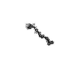 CC(Cc1ccc(CNC(=O)Cc2ccc(N(C)C(=O)CCN3CCC(OC(=O)Nc4ccccc4-c4ccccc4)CC3)cc2)cc1)NCc1ccc(O)c2[nH]c(=O)ccc12